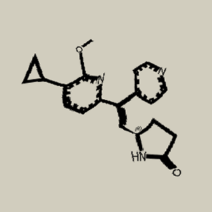 COc1nc(C(=C[C@H]2CCC(=O)N2)c2ccncc2)ccc1C1CC1